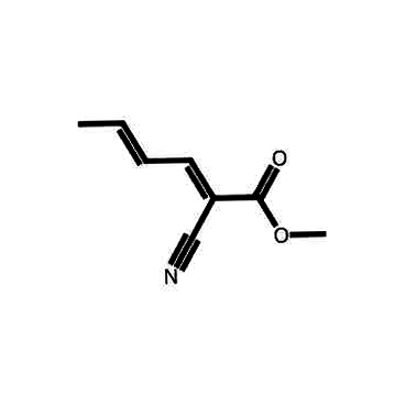 C/C=C/C=C(\C#N)C(=O)OC